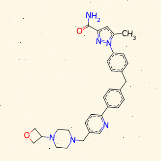 Cc1cc(C(N)=O)nn1-c1ccc(Cc2ccc(-c3ccc(CN4CCN(C5COC5)CC4)cn3)cc2)cc1